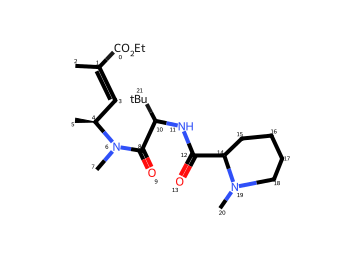 CCOC(=O)/C(C)=C/[C@H](C)N(C)C(=O)C(NC(=O)C1CCCCN1C)C(C)(C)C